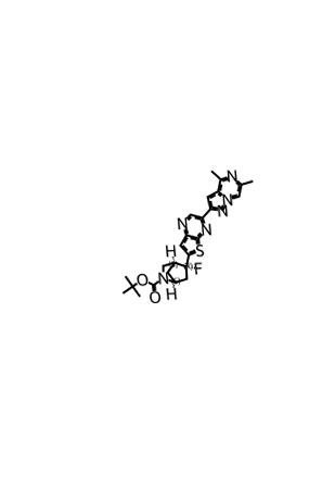 Cc1cn2nc(-c3cnc4cc([C@@]5(F)C[C@@H]6C[C@H]5CN6C(=O)OC(C)(C)C)sc4n3)cc2c(C)n1